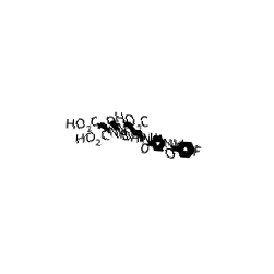 O=C(O)CCC(NC(=O)N(O)C(CCCCNC(=O)c1ccc(NC(=O)c2ccc(F)cc2)cc1)C(=O)O)C(=O)O